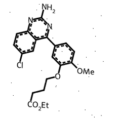 CCOC(=O)CCCOc1cc(-c2nc(N)nc3ccc(Cl)cc23)ccc1OC